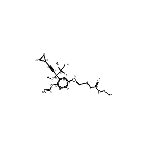 CCOC(=O)CCCOc1ccc(NC=O)c(C(C#CC2CC2)(OC)C(F)(F)F)c1